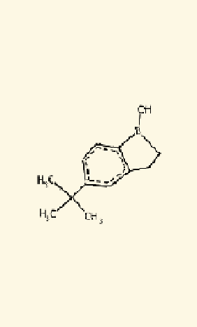 CC(C)(C)c1ccc2c(c1)CCB2O